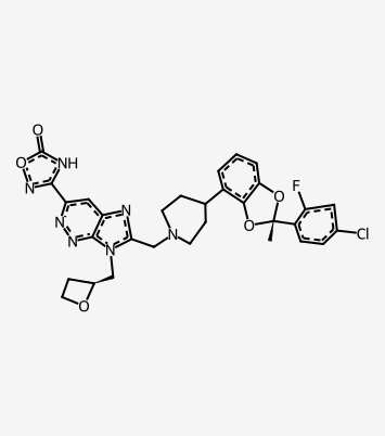 C[C@]1(c2ccc(Cl)cc2F)Oc2cccc(C3CCN(Cc4nc5cc(-c6noc(=O)[nH]6)nnc5n4C[C@@H]4CCO4)CC3)c2O1